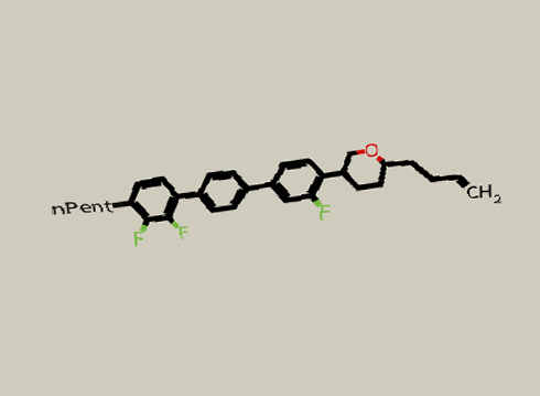 C=CCCC1CCC(c2ccc(-c3ccc(-c4ccc(CCCCC)c(F)c4F)cc3)cc2F)CO1